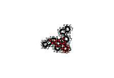 c1ccc(-c2ccccc2-c2c(-c3ccccc3)cccc2-c2ccccc2N(c2ccc(-c3ccc4ccccc4c3)cc2)c2cccc(-c3cccc4ccccc34)c2)cc1